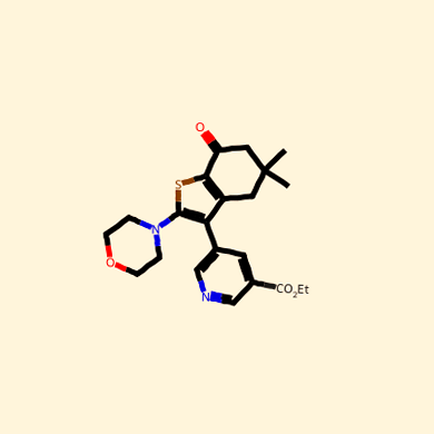 CCOC(=O)c1cncc(-c2c(N3CCOCC3)sc3c2CC(C)(C)CC3=O)c1